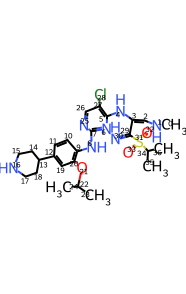 CN/C=C(/Nc1nc(Nc2ccc(C3CCNCC3)cc2OC(C)C)ncc1Cl)C(=N)S(=O)(=O)C(C)C